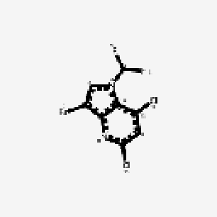 FC(F)n1cc(Br)c2nc(Cl)cc(Cl)c21